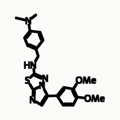 COc1ccc(-c2cnc3sc(NCc4ccc(N(C)C)cc4)nn23)cc1OC